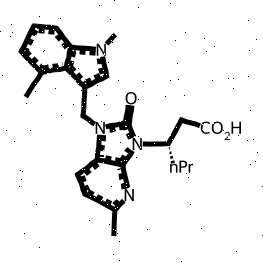 CCC[C@@H](CC(=O)O)n1c(=O)n(Cc2cn(C)c3cccc(C)c23)c2ccc(C)nc21